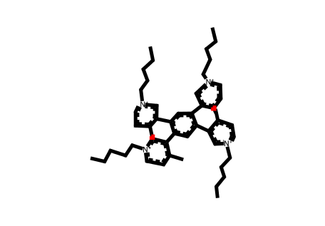 CCCCC[n+]1ccc(C)c(-c2cc(-c3c[n+](CCCCC)ccc3C)c(-c3c[n+](CCCCC)ccc3C)cc2-c2c[n+](CCCCC)ccc2C)c1